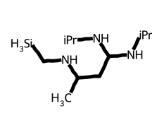 CC(C)NC(CC(C)NC[SiH3])NC(C)C